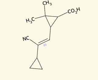 CC1(C)C(/C=C(\C#N)C2CC2)C1C(=O)O